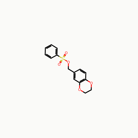 O=S(=O)(OCc1ccc2c(c1)OCCO2)c1ccccc1